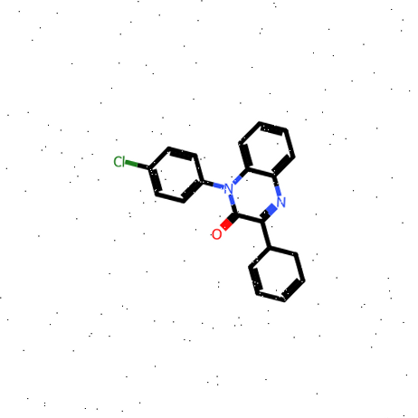 O=c1c(C2C=CC=CC2)nc2ccccc2n1-c1ccc(Cl)cc1